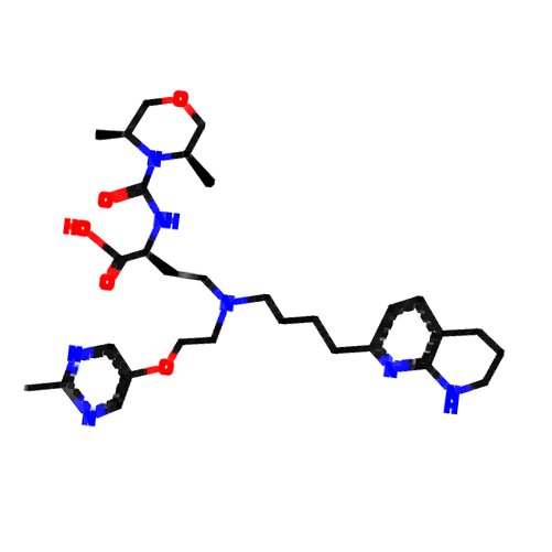 Cc1ncc(OCCN(CCCCc2ccc3c(n2)NCCC3)CC[C@H](NC(=O)N2[C@H](C)COC[C@@H]2C)C(=O)O)cn1